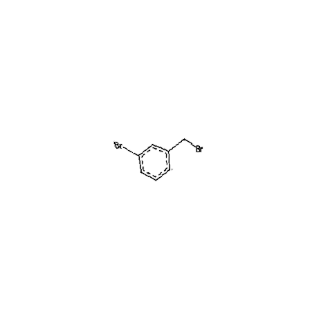 BrCc1[c]ccc(Br)c1